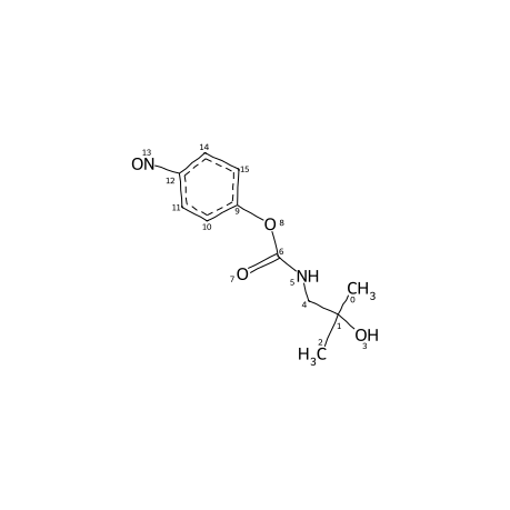 CC(C)(O)CNC(=O)Oc1ccc(N=O)cc1